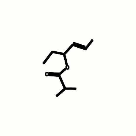 C/C=C/C(CC)OC(=O)C(C)C